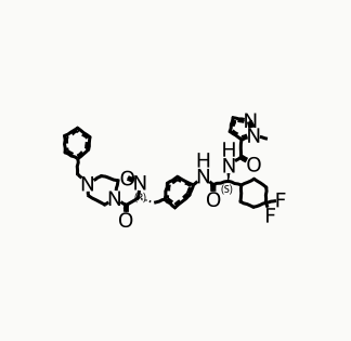 Cn1nccc1C(=O)N[C@H](C(=O)Nc1ccc(C[C@@H](N=O)C(=O)N2CCN(Cc3ccccc3)CC2)cc1)C1CCC(F)(F)CC1